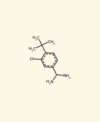 CC(C)(C)c1ccc(C(N)N)cc1Cl